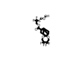 O=C(OCC(F)(F)SOOO)C12CC3CC(C1)C1(OCC(F)(F)C(F)(F)CO1)C(C3)C2